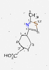 Cc1nc(C2CCC(C(=O)O)CC2)cs1